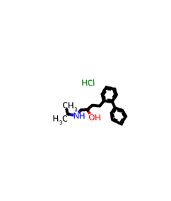 CC(C)NCC(O)CCc1ccccc1-c1ccccc1.Cl